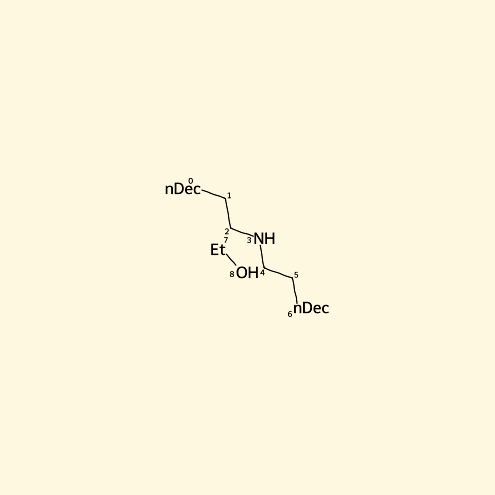 CCCCCCCCCCCCNCCCCCCCCCCCC.CCO